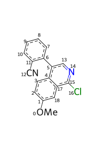 COc1ccc2c(-c3ccccc3C#N)cnc(Cl)c2c1